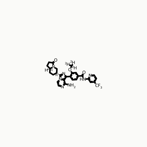 [2H]C([2H])([2H])Oc1cc(C(=O)Nc2cc(C(F)(F)F)ccn2)ccc1-c1nc([C@@H]2CC[C@H]3CCC(=O)N3C2)n2ccnc(N)c12